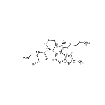 CNCC(CC(C)C)NC(=O)N1CCC[C@@H]([C@@](O)(CCCCOC)c2cccc3cc(C)oc23)C1